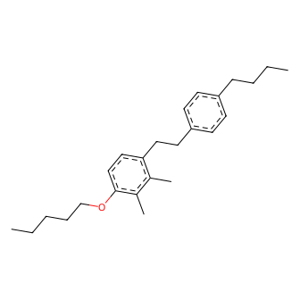 CCCCCOc1ccc(CCc2ccc(CCCC)cc2)c(C)c1C